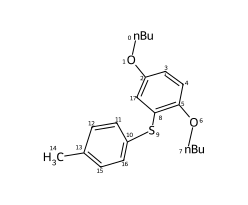 CCCCOc1[c]cc(OCCCC)c(Sc2ccc(C)cc2)c1